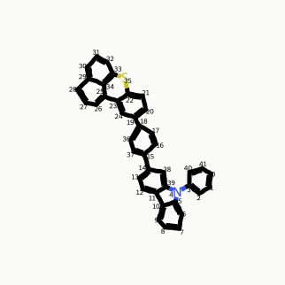 c1ccc(-n2c3ccccc3c3ccc(-c4ccc(-c5ccc6c(c5)-c5cccc7cccc(c57)S6)cc4)cc32)cc1